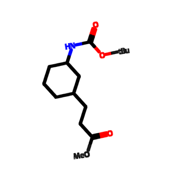 COC(=O)CCC1CCCC(NC(=O)OC(C)(C)C)C1